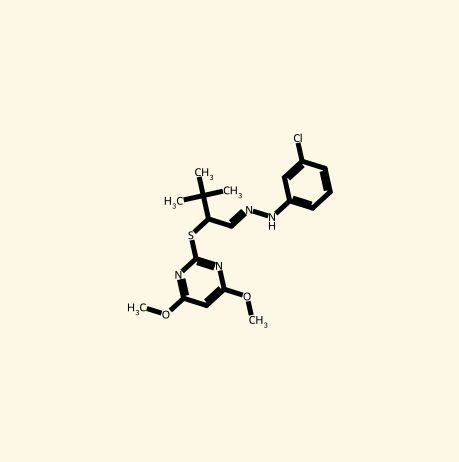 COc1cc(OC)nc(SC(C=NNc2cccc(Cl)c2)C(C)(C)C)n1